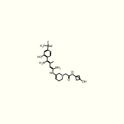 CC(/C=C(\N)NC1=CCCN(CC(=O)NC23CC(O)(C2)C3)C1)=C(/N)c1ccc(C(F)(F)P)cc1O